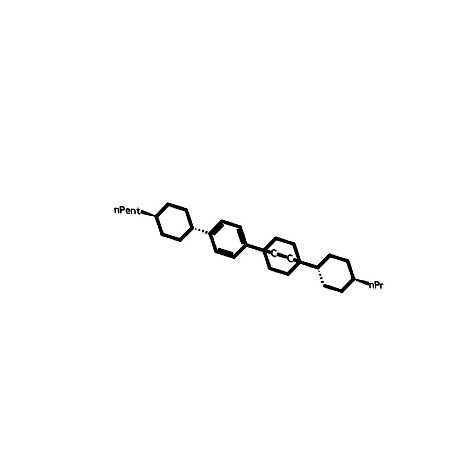 CCCCC[C@H]1CC[C@H](c2ccc(C34CCC([C@H]5CC[C@H](CCC)CC5)(CC3)CC4)cc2)CC1